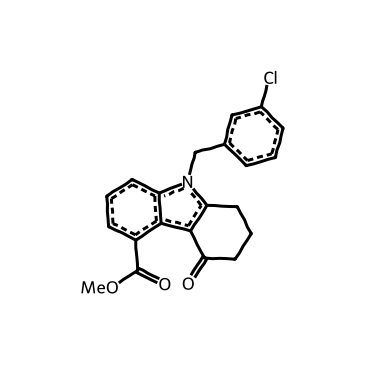 COC(=O)c1cccc2c1c1c(n2Cc2cccc(Cl)c2)CCCC1=O